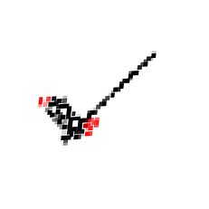 C=C(C)[C@@H]1CC[C@]2(C(=O)O)C(C(=O)CCCCCCCCCCCCCCCCC)C[C@]3(C)[C@H](CC[C@@H]4[C@@]5(C)CC[C@H](O)C(C)(C)[C@@H]5CC[C@]43C)[C@@H]12